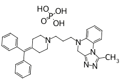 Cc1nnc2n1-c1ccccc1N(CCCN1CCC(=C(c3ccccc3)c3ccccc3)CC1)C2.O=P(O)(O)O